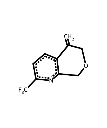 C=C1COCc2nc(C(F)(F)F)ccc21